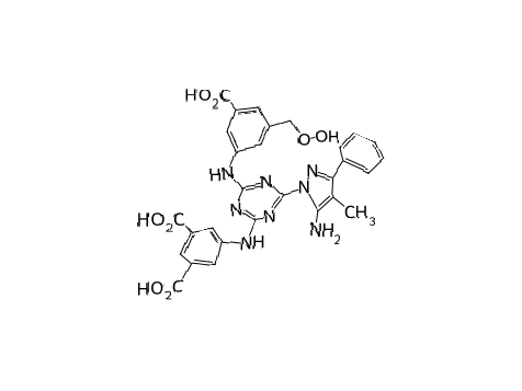 Cc1c(-c2ccccc2)nn(-c2nc(Nc3cc(COO)cc(C(=O)O)c3)nc(Nc3cc(C(=O)O)cc(C(=O)O)c3)n2)c1N